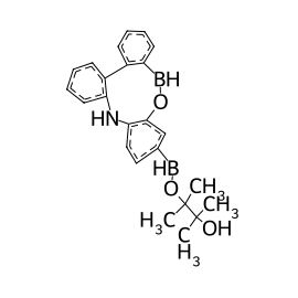 CC(C)(O)C(C)(C)OBc1ccc2c(c1)OBc1ccccc1-c1ccccc1N2